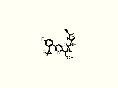 C#Cc1nc(NC(=O)N(C)C(CO)c2ccc(-c3ccc(F)cc3C3CC3(F)F)cn2)cs1